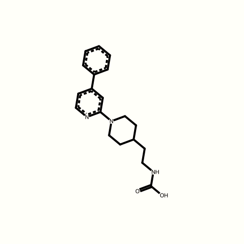 O=C(O)NCCC1CCN(c2cc(-c3ccccc3)ccn2)CC1